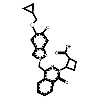 O=C(O)C1CCC1n1nc(Cn2cc3cc(OCC4CC4)c(Cl)cc3n2)c2ccccc2c1=O